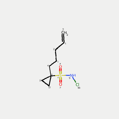 C=CCCCC1(S(=O)(=O)NCl)CC1